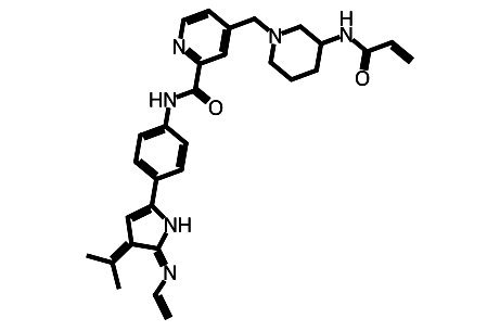 C=C/N=C1/NC(c2ccc(NC(=O)c3cc(CN4CCCC(NC(=O)C=C)C4)ccn3)cc2)=CC1=C(C)C